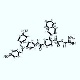 N#Cc1ccc(CN(Cc2ccc(C#N)cc2)c2ccc(NC(=O)c3ccc(NC(=O)CNC(=N)N)c(-c4ccc5ccccc5c4)c3)cc2)cc1